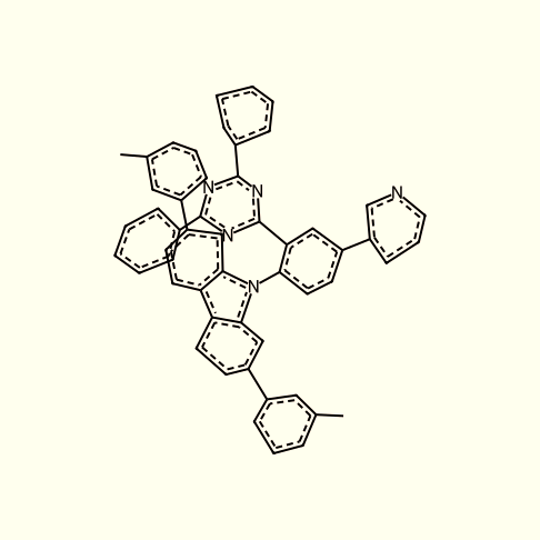 Cc1cccc(-c2ccc3c4ccc(-c5cccc(C)c5)cc4n(-c4ccc(-c5cccnc5)cc4-c4nc(-c5ccccc5)nc(-c5ccccc5)n4)c3c2)c1